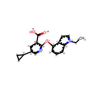 CCn1ccc2c(Oc3ncc(C4CC4)cc3C(=O)O)cccc21